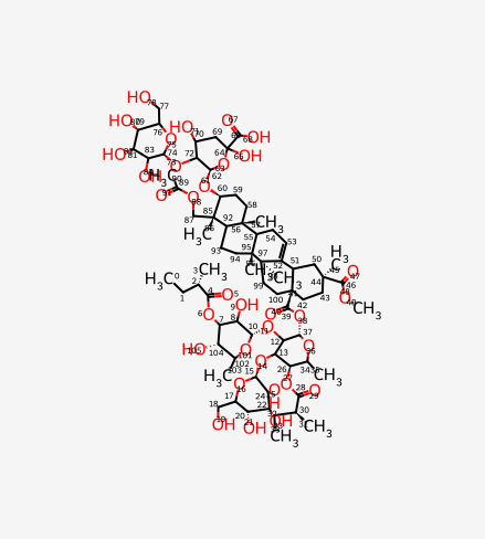 CC[C@H](C)C(=O)OC1C(O)[C@H](OC2C(O[C@@H]3OC(CO)[C@@H](O)C(O)C3O)[C@H](OC(=O)[C@@H](C)CC)C(C)O[C@H]2OC(=O)[C@]23CC[C@](C)(C(=O)OC)CC2C2=CCC4[C@@]5(C)CC[C@H](O[C@@H]6OC(O)(C(=O)O)CC(O)C6O[C@@H]6OC(CO)[C@H](O)C(O)C6O)[C@@](C)(COC(C)=O)C5CC[C@@]4(C)[C@]2(C)CC3)OC(C)[C@@H]1O